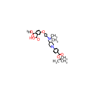 [2H]OC(=O)c1ccc(OC2CC(N(CC3CCN(c4ccc(C(=O)OC(C)(C)C)cc4)CC3)C(C)C)C2)cc1C(=O)O